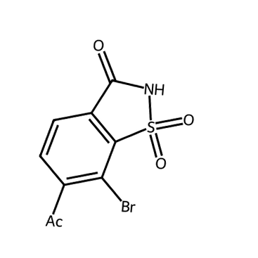 CC(=O)c1ccc2c(c1Br)S(=O)(=O)NC2=O